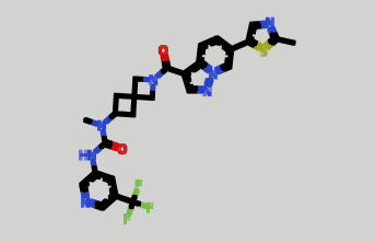 Cc1ncc(-c2ccc3c(C(=O)N4CC5(CC(N(C)C(=O)Nc6cncc(C(F)(F)F)c6)C5)C4)cnn3c2)s1